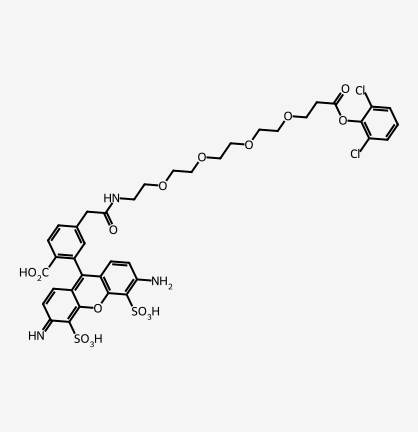 N=c1ccc2c(-c3cc(CC(=O)NCCOCCOCCOCCOCCC(=O)Oc4c(Cl)cccc4Cl)ccc3C(=O)O)c3ccc(N)c(S(=O)(=O)O)c3oc-2c1S(=O)(=O)O